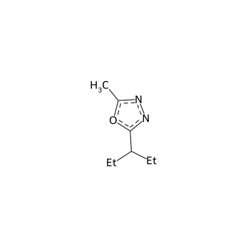 CCC(CC)c1nnc(C)o1